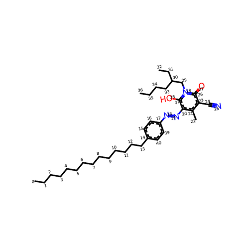 CCCCCCCCCCCCCCc1ccc(/N=N/c2c(C)c(C#N)c(=O)n(CC(CC)CCCC)c2O)cc1